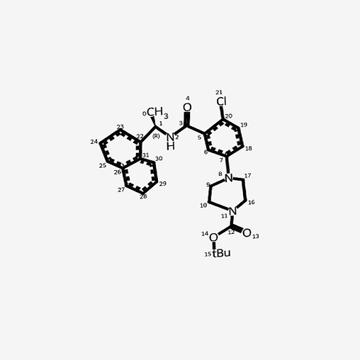 C[C@@H](NC(=O)c1cc(N2CCN(C(=O)OC(C)(C)C)CC2)ccc1Cl)c1cccc2ccccc12